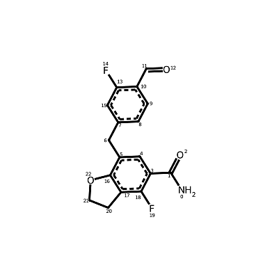 NC(=O)c1cc(Cc2ccc(C=O)c(F)c2)c2c(c1F)CCO2